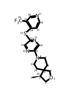 C[C@@H]1COCC12CCN(c1cnc(Sc3ccncc3C(F)(F)F)cn1)CC2